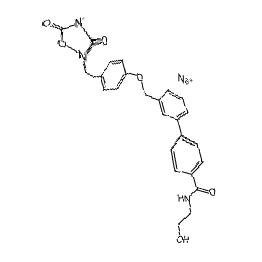 O=C(NCCO)c1ccc(-c2cccc(COc3ccc(Cn4oc(=O)[n-]c4=O)cc3)c2)cc1.[Na+]